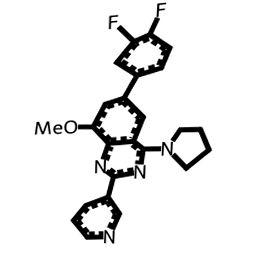 COc1cc(-c2ccc(F)c(F)c2)cc2c(N3CCCC3)nc(-c3cccnc3)nc12